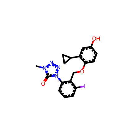 Cn1nnn(-c2cccc(I)c2COc2ccc(O)cc2C2CC2)c1=O